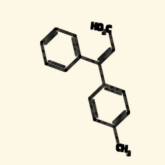 Cc1ccc(/C(=C/C(=O)O)c2ccccc2)cc1